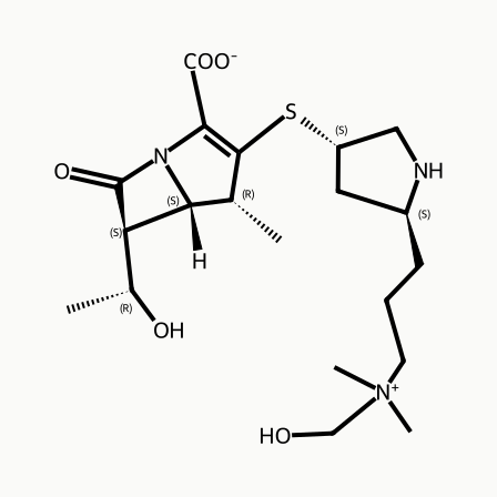 C[C@@H](O)[C@H]1C(=O)N2C(C(=O)[O-])=C(S[C@@H]3CN[C@@H](CCC[N+](C)(C)CO)C3)[C@H](C)[C@H]12